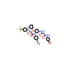 N#Cc1ccc(N(C(=O)CC(=O)Nc2ccc(C(F)(F)F)cc2)c2cc(NC(=O)CC(=O)Nc3ccc(Br)cc3)ccc2Oc2ccccc2)cc1